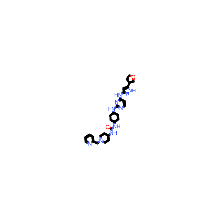 O=C(NC1CCC(Nc2nccc(Nc3cc(C4CCOC4)[nH]n3)n2)CC1)NC1CCN(Cc2ccccn2)CC1